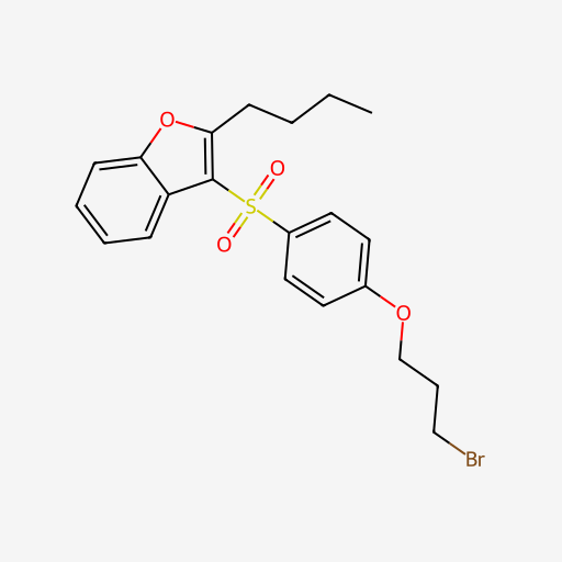 CCCCc1oc2ccccc2c1S(=O)(=O)c1ccc(OCCCBr)cc1